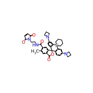 Cc1cc2c(cc1C(=O)NCCN1C(=O)C=CC1=O)C1(OC2=O)c2ccc(N3CCC3)cc2[Si]2(CCCCC2)c2cc(N3CCC3)ccc21